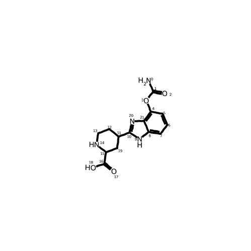 NC(=O)Oc1cccc2[nH]c(C3CCNC(C(=O)O)C3)nc12